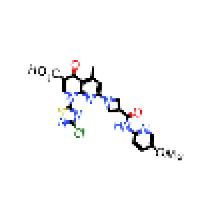 COc1ccc(NC(=O)C2CN(c3cc(C)c4c(=O)c(C(=O)O)cn(-c5nc(Cl)ns5)c4n3)C2)nc1